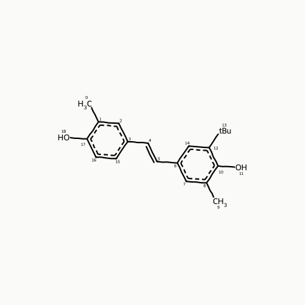 Cc1cc(C=Cc2cc(C)c(O)c(C(C)(C)C)c2)ccc1O